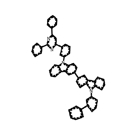 c1ccc(-c2cccc(-n3c4ccccc4c4cc(-c5ccc6c(c5)c5ccccc5n6-c5cccc(-c6cc(-c7ccccc7)nc(-c7ccccc7)n6)c5)ccc43)c2)cc1